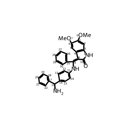 COc1cc2c(cc1OC)/C(=C(/Nc1ccc(C(N)c3ccccc3)cc1)c1ccccc1)C(=O)N2